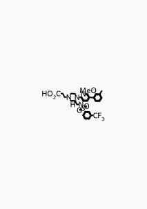 COc1c(C)cccc1-c1cnc2c(c1)N(S(=O)(=O)c1cccc(C(F)(F)F)c1)C[C@@H]1CN(CCC(=O)O)CCN21